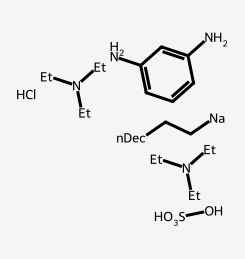 CCCCCCCCCCC[CH2][Na].CCN(CC)CC.CCN(CC)CC.Cl.Nc1cccc(N)c1.O=S(=O)(O)O